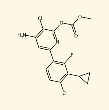 COC(=O)Oc1nc(-c2ccc(Cl)c(C3CC3)c2F)cc(N)c1Cl